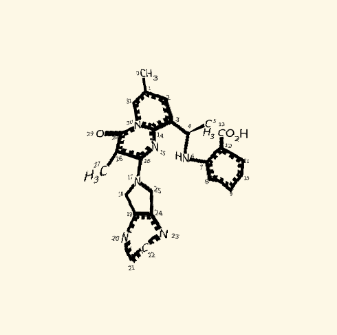 Cc1cc([C@@H](C)Nc2ccccc2C(=O)O)c2nc(N3Cc4nccnc4C3)c(C)c(=O)n2c1